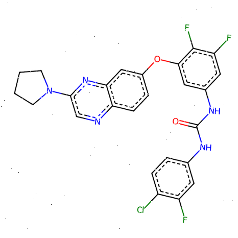 O=C(Nc1ccc(Cl)c(F)c1)Nc1cc(F)c(F)c(Oc2ccc3ncc(N4CCCC4)nc3c2)c1